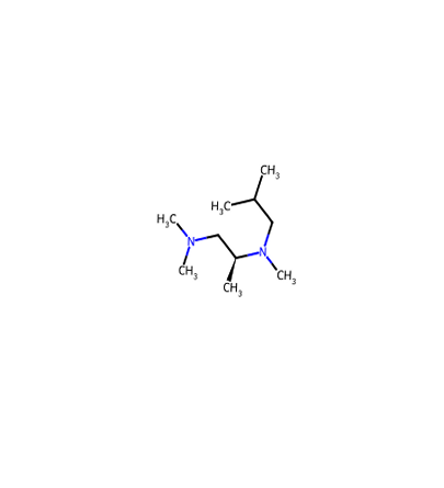 CC(C)CN(C)[C@@H](C)CN(C)C